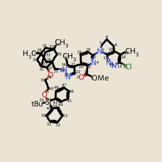 COC(=O)c1nc(N2CCCc3c2nnc(Cl)c3C)ccc1-c1cnn(CC23CC4(C)CC(CC(C)(C4)C2)C3OCCO[Si](c2ccccc2)(c2ccccc2)C(C)(C)C)c1C